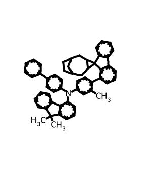 Cc1cc(N(c2ccc(-c3ccccc3)cc2)c2cccc3c2-c2ccccc2C3(C)C)ccc1-c1cccc2c1C1(c3ccccc3-2)C2CC3CCC(C3)CC21